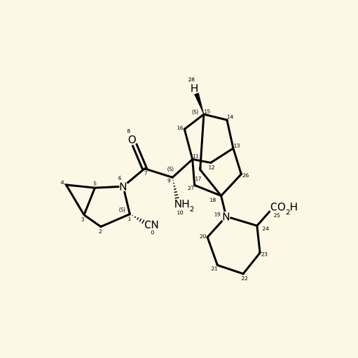 N#C[C@@H]1CC2CC2N1C(=O)[C@@H](N)C12CC3C[C@@H](C1)CC(N1CCCCC1C(=O)O)(C3)C2